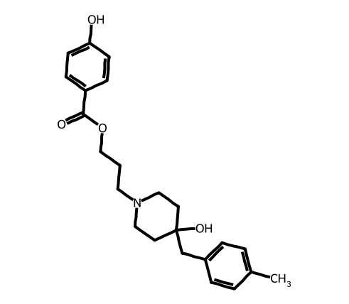 Cc1ccc(CC2(O)CCN(CCCOC(=O)c3ccc(O)cc3)CC2)cc1